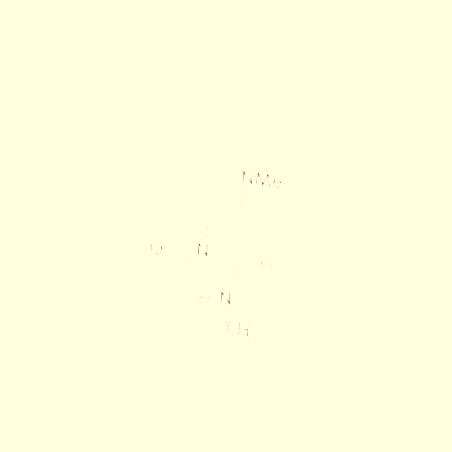 CNCCN1C(=O)CN(C)C1=O